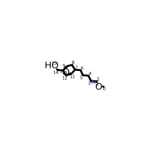 CO/C=C/CCCC1CC2OC1CC2CO